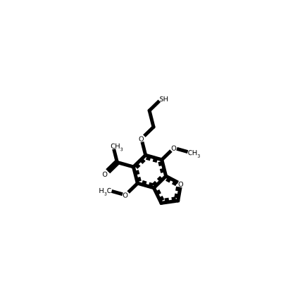 COc1c(C(C)=O)c(OCCS)c(OC)c2occc12